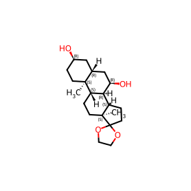 C[C@]12CC[C@@H](O)C[C@@H]1C[C@@H](O)[C@@H]1[C@@H]2CC[C@@]2(C)[C@H]1CCC21OCCO1